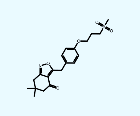 CC1(C)CC(=O)c2c(noc2Cc2ccc(OCCCS(C)(=O)=O)cc2)C1